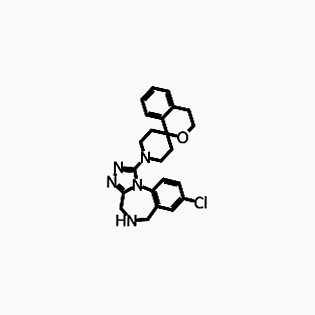 Clc1ccc2c(c1)CNCc1nnc(N3CCC4(CC3)OCCc3ccccc34)n1-2